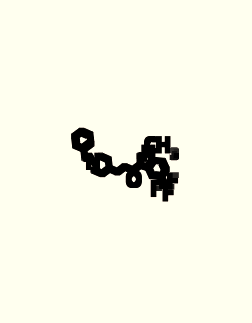 Cn1cc(C(=O)CCC2CCN(Cc3ccccc3)CC2)c2cc(C(F)(F)F)ccc21